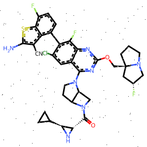 N#Cc1c(N)sc2c(F)ccc(-c3c(Cl)cc4c(N5CCC6C5CN6C(=O)[C@@H]5N[C@H]5C5CC5)nc(OC[C@@]56CCCN5C[C@H](F)C6)nc4c3F)c12